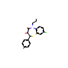 CNCCN1C(=O)C(O)C(c2ccc(O)cc2)Sc2cc(Cl)ccc21